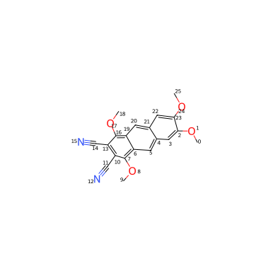 COc1cc2cc3c(OC)c(C#N)c(C#N)c(OC)c3cc2cc1OC